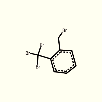 BrCc1ccccc1C(Br)(Br)Br